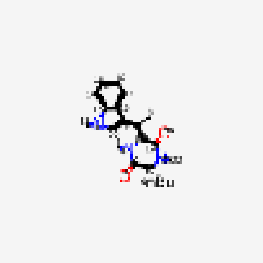 CCCC[C@@H]1C(=O)N(C)[C@H]([C@H](C)c2cn(C)c3ccccc23)C(=O)N1C